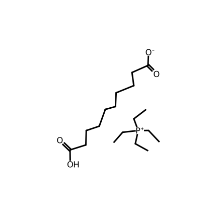 CC[P+](CC)(CC)CC.O=C([O-])CCCCCCCCC(=O)O